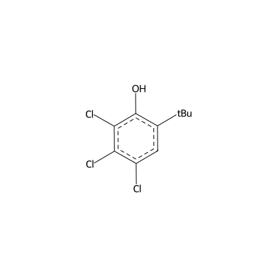 CC(C)(C)c1cc(Cl)c(Cl)c(Cl)c1O